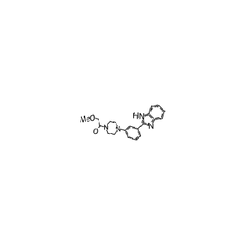 COCC(=O)N1CCN(c2cccc(-c3nc4ccccc4[nH]3)c2)CC1